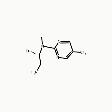 CC[C@@H](CN)N(C)c1ncc(C(F)(F)F)cn1